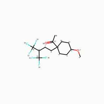 COC1CCC(CCC(C(F)(F)F)C(F)(F)F)(C(C)=O)CC1